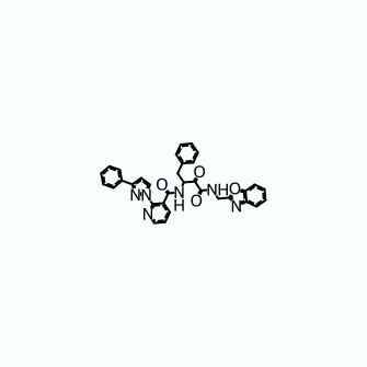 O=C(NCc1nc2ccccc2o1)C(=O)C(Cc1ccccc1)NC(=O)c1cccnc1-n1ccc(-c2ccccc2)n1